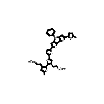 CCCCCCCCCCCCc1cc(C)sc1-c1sc(-c2ccc(-c3cc4c(s3)c3sc(-c5ccc(C)s5)cc3n4-c3ccccc3)s2)cc1CCCCCCCCCCCC